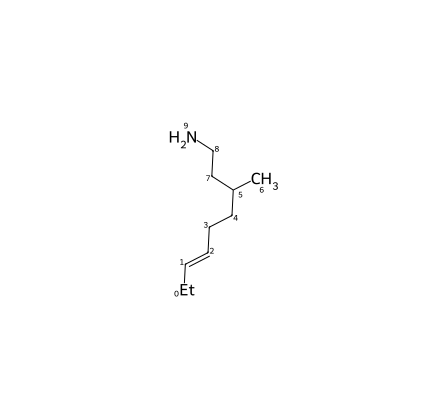 CCC=CCCC(C)CCN